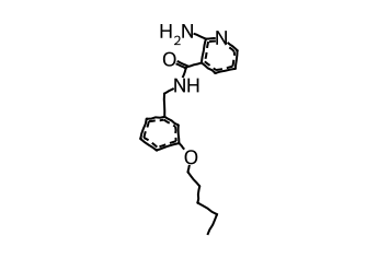 CCCCCOc1cccc(CNC(=O)c2cccnc2N)c1